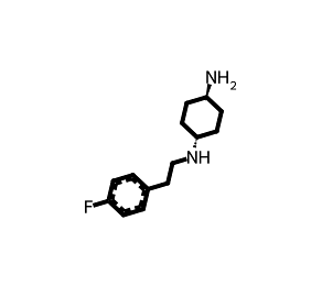 N[C@H]1CC[C@H](NCCc2ccc(F)cc2)CC1